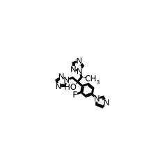 C[C@@H](n1cncn1)[C@](O)(Cn1cncn1)c1ccc(-n2ccnc2)cc1F